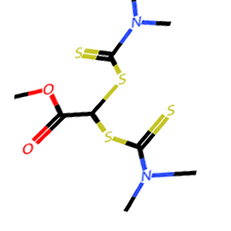 COC(=O)C(SC(=S)N(C)C)SC(=S)N(C)C